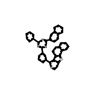 c1ccc(-c2nc(-c3cccc(-c4nccc5oc6c7ccccc7ccc6c45)c3)nc(-c3ccc4ccccc4c3)n2)cc1